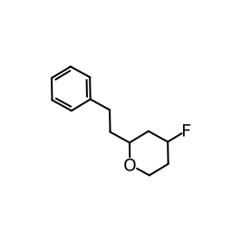 FC1CCOC(CCc2ccccc2)C1